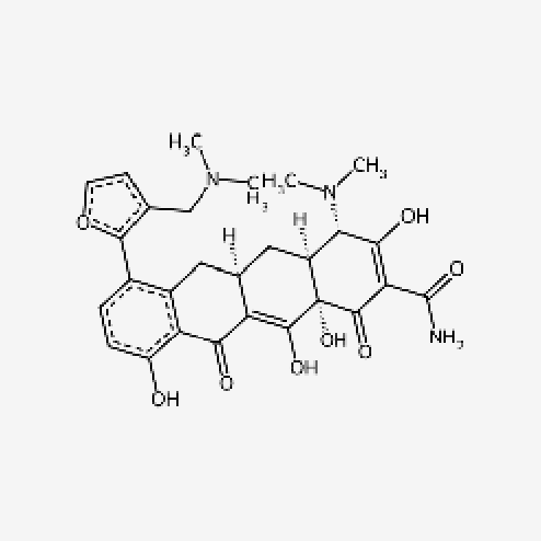 CN(C)Cc1ccoc1-c1ccc(O)c2c1C[C@H]1C[C@H]3[C@H](N(C)C)C(O)=C(C(N)=O)C(=O)[C@@]3(O)C(O)=C1C2=O